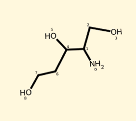 NC(CO)C(O)CCO